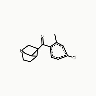 Cc1cc(Cl)ccc1C(=O)C1CN2CCC1CC2